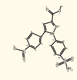 COC(=O)c1cc(-c2ccc([N+](=O)[O-])cc2)n(-c2ccc(S(N)(=O)=O)cc2)n1